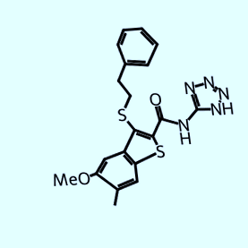 COc1cc2c(SCCc3ccccc3)c(C(=O)Nc3nnn[nH]3)sc2cc1C